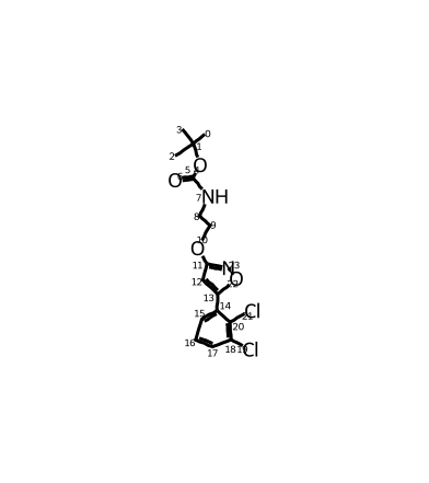 CC(C)(C)OC(=O)NCCOc1cc(-c2cccc(Cl)c2Cl)on1